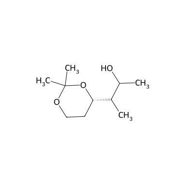 CC(O)C(C)[C@@H]1CCOC(C)(C)O1